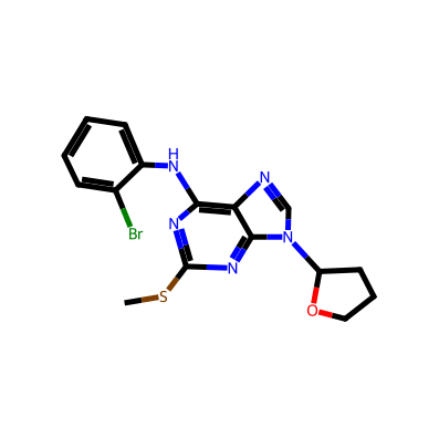 CSc1nc(Nc2ccccc2Br)c2ncn(C3CCCO3)c2n1